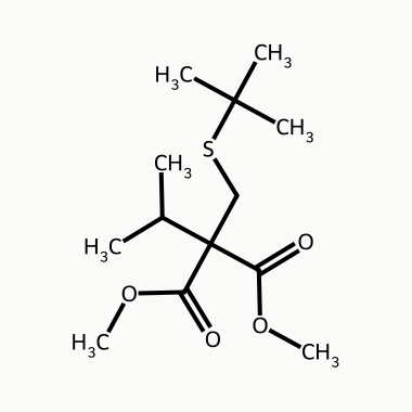 COC(=O)C(CSC(C)(C)C)(C(=O)OC)C(C)C